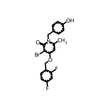 Cc1cc(OCc2ccc(F)cc2F)c(Br)c(=O)n1Cc1ccc(O)cc1